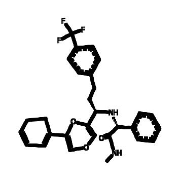 CNC(=O)[C@H](N[C@H](CCc1ccc(C(F)(F)F)cc1)C1=COC=C(C2=CC=CCC2)O1)c1ccccc1